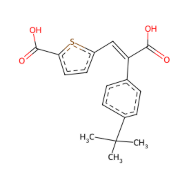 CC(C)(C)c1ccc(/C(=C\c2ccc(C(=O)O)s2)C(=O)O)cc1